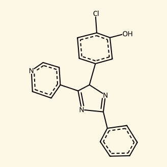 Oc1cc(C2N=C(c3ccccc3)N=C2c2ccncc2)ccc1Cl